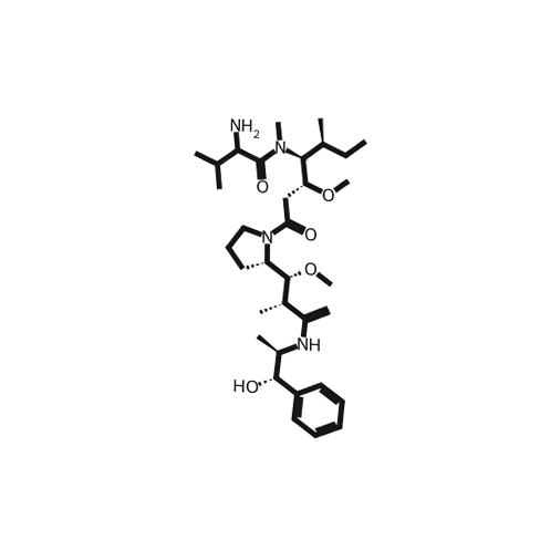 C=C(N[C@H](C)[C@@H](O)c1ccccc1)[C@H](C)[C@@H](OC)[C@@H]1CCCN1C(=O)C[C@@H](OC)[C@H]([C@@H](C)CC)N(C)C(=O)C(N)C(C)C